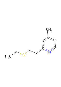 CCSCCc1cc(C)ccn1